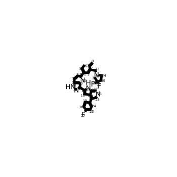 C=C/C(=C\C(=C/C)c1ccc2[nH]nc(-c3cc4c(-c5ccc(F)cc5)cncc4[nH]3)c2n1)CN1CCC(F)(F)C1